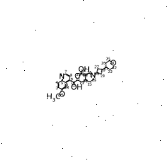 COc1ccc2nccc(C(O)CC[C@@H]3CCN(C4CC(C5CCOCC5)C4)C[C@@H]3C(=O)O)c2c1